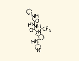 CN1CCC(Nc2cccc3c2cc(C(=O)NNC(=O)CNc2ccccc2)n3CC(F)(F)F)CC1